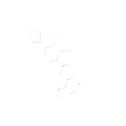 CCCCN1C(C(=O)NC2=C(C(=O)OC)COC(C)(C)C2)CCC(n2ccnc2)N1C